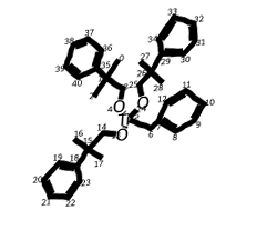 CC(C)(C[O][Ti]([CH2]c1ccccc1)([O]CC(C)(C)c1ccccc1)[O]CC(C)(C)c1ccccc1)c1ccccc1